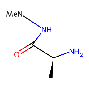 CNNC(=O)[C@H](C)N